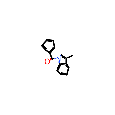 Cc1cn(C(=O)c2ccccc2)c2ccccc12